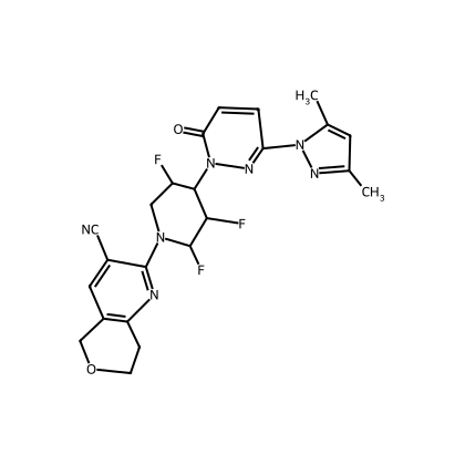 Cc1cc(C)n(-c2ccc(=O)n(C3C(F)CN(c4nc5c(cc4C#N)COCC5)C(F)C3F)n2)n1